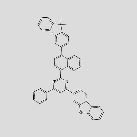 CC1(C)c2ccccc2-c2cc(-c3ccc(-c4nc(-c5ccccc5)cc(-c5ccc6c(c5)oc5ccccc56)n4)c4ccccc34)ccc21